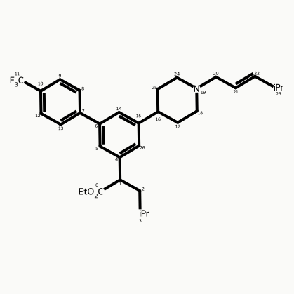 CCOC(=O)C(CC(C)C)c1cc(-c2ccc(C(F)(F)F)cc2)cc(C2CCN(CC=CC(C)C)CC2)c1